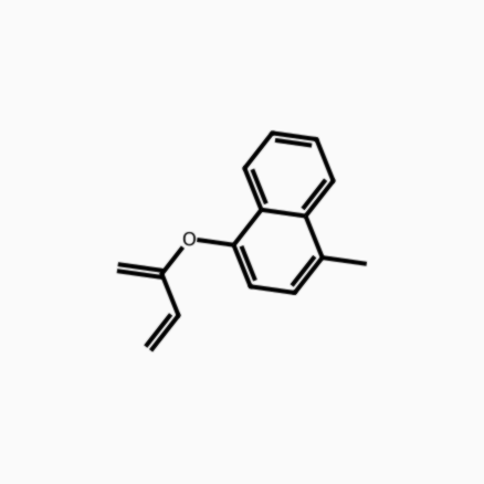 C=CC(=C)Oc1ccc(C)c2ccccc12